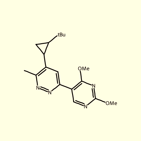 COc1ncc(-c2cc(C3CC3C(C)(C)C)c(C)nn2)c(OC)n1